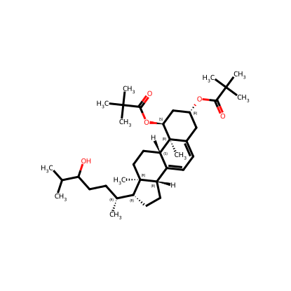 CC(C)C(O)CC[C@@H](C)[C@H]1CC[C@H]2C3=CC=C4C[C@@H](OC(=O)C(C)(C)C)C[C@H](OC(=O)C(C)(C)C)[C@]4(C)[C@H]3CC[C@]12C